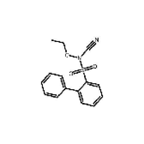 CCON(C#N)S(=O)(=O)c1ccccc1-c1ccccc1